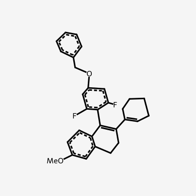 COc1ccc2c(c1)CCC(C1=CCCCC1)=C2c1c(F)cc(OCc2ccccc2)cc1F